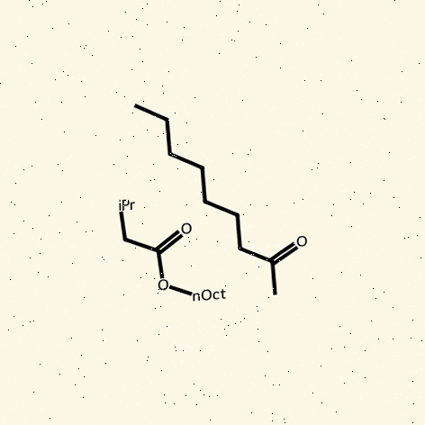 CCCCCCCC(C)=O.CCCCCCCCOC(=O)CC(C)C